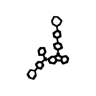 C1=CCC(c2ccc(N(c3ccccc3)c3ccc4c5ccccc5n(-c5ccc(-c6ccc(C7CCCCCC7)cc6)cc5)c4c3)cc2)C=C1